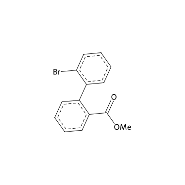 COC(=O)c1ccccc1-c1ccccc1Br